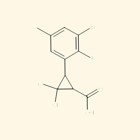 Cc1cc(Br)c(F)c(C2C(C(=O)O)C2(Cl)Cl)c1